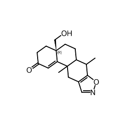 CC1c2oncc2CC2(C)C3=CC(=O)CC[C@]3(CO)CCC12